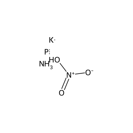 N.O=[N+]([O-])O.[K].[P]